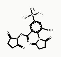 [CH3][Sn]([CH3])([CH3])[c]1cc(C(=O)O)c(N2C(=O)CCC2=O)c(C(=O)ON2C(=O)CCC2=O)c1